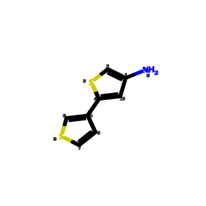 Nc1csc(-c2ccsc2)c1